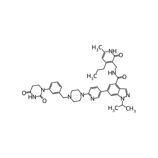 CCCc1cc(C)[nH]c(=O)c1CNC(=O)c1cc(-c2ccc(N3CCN(Cc4cccc(N5CCC(=O)NC5=O)c4)CC3)nc2)cc2c1cnn2C(C)C